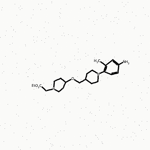 CCOC(=O)CN1CCC(OCC2CCN(c3ccc(N)cc3C)CC2)CC1